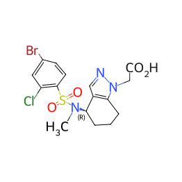 CN([C@@H]1CCCc2c1cnn2CC(=O)O)S(=O)(=O)c1ccc(Br)cc1Cl